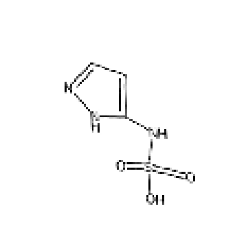 O=S(=O)(O)Nc1ccn[nH]1